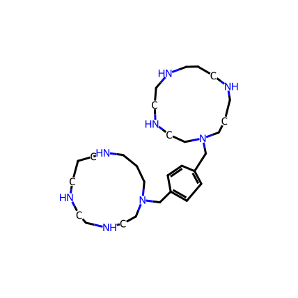 c1cc(CN2CCCNCCCNCCNCC2)ccc1CN1CCCNCCCNCCNCC1